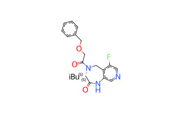 CC[C@H](C)[C@H]1C(=O)Nc2cncc(F)c2CN1C(=O)COCc1ccccc1